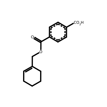 O=C(O)c1ccc(C(=O)OCC2=CCCCC2)cc1